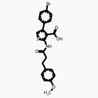 COc1ccc(CCC(=O)Nc2scc(-c3ccc(Br)cc3)c2C(=O)O)cc1